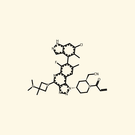 C=CC(=O)N1CC[C@H](n2nnc3c(N4CC(C)(N(C)C)C4)nc4c(F)c(-c5c(C)c(Cl)cc6[nH]ncc56)c(C)cc4c32)C[C@H]1CC#N